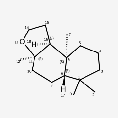 CC1(C)CCC[C@@]2(C)[C@H]1CC[C@@]1(C)OCC[C@@H]21